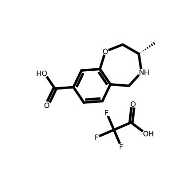 C[C@H]1COc2cc(C(=O)O)ccc2CN1.O=C(O)C(F)(F)F